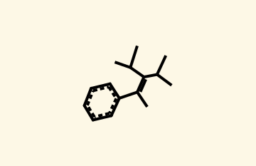 CC(=C(C(C)C)C(C)C)c1ccccc1